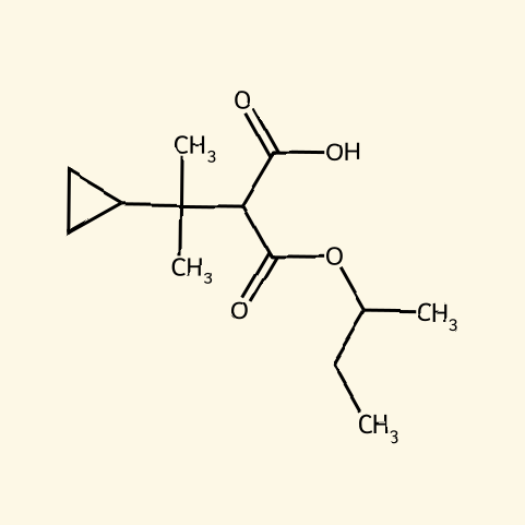 CCC(C)OC(=O)C(C(=O)O)C(C)(C)C1CC1